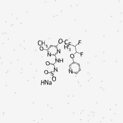 COc1cc(OC)nc(NC(=O)N=S(=O)=O)n1.FC(F)C(F)Oc1cccnc1.[NaH]